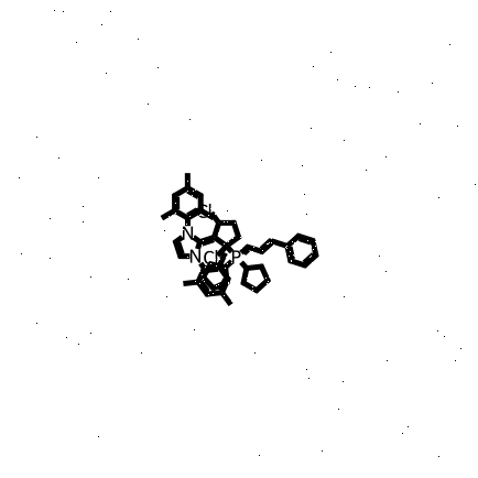 Cc1cc(C)c(N2C=CN(c3c(C)cc(C)cc3C)C2=C2C(Cl)CCC2(Cl)P(=CC=Cc2ccccc2)(C2CCCC2)C2CCCC2)c(C)c1